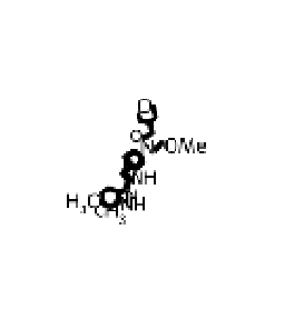 COCCN(C(=O)CC1CCOCC1)c1ccc2cc(-c3n[nH]c4c3CCC(C)(C)C4)[nH]c2c1